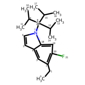 CCc1cc2ccn([Si](C(C)C)(C(C)C)C(C)C)c2cc1F